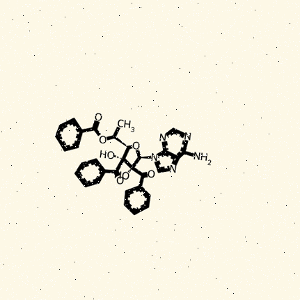 CC(OC(=O)c1ccccc1)[C@H]1O[C@@H](n2cnc3c(N)ncnc32)[C@@](O)(C(=O)c2ccccc2)[C@@]1(O)C(=O)c1ccccc1